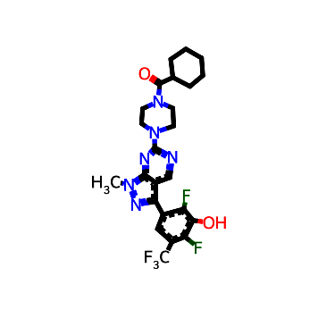 Cn1nc(-c2cc(C(F)(F)F)c(F)c(O)c2F)c2cnc(N3CCN(C(=O)C4CCCCC4)CC3)nc21